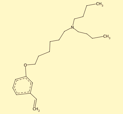 C=Cc1cccc(OCCCCCCN(CCCC)CCCC)c1